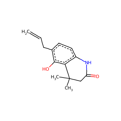 C=CCc1ccc2c(c1O)C(C)(C)CC(=O)N2